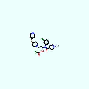 CC(=O)N1CCC(C(=O)N(CCCN2CCC(Sc3ccncc3)CC2)c2cccc(Cl)c2)CC1.O=C(O)C(F)(F)F